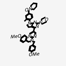 COc1ccc(CN(Cc2ccc(OC)cc2)c2ncc(-c3nc(N4CCOCC4)nc4c3CCN4c3ccc(C(=O)N4CCCCC4)cc3C)cn2)cc1